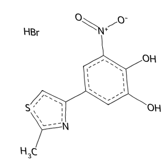 Br.Cc1nc(-c2cc(O)c(O)c([N+](=O)[O-])c2)cs1